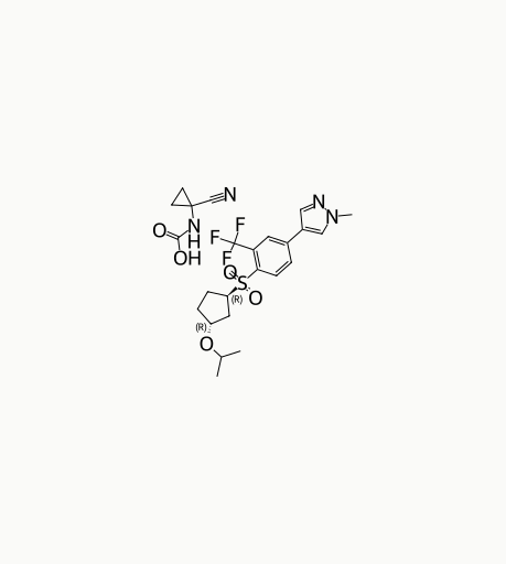 CC(C)O[C@@H]1CC[C@@H](S(=O)(=O)c2ccc(-c3cnn(C)c3)cc2C(F)(F)F)C1.N#CC1(NC(=O)O)CC1